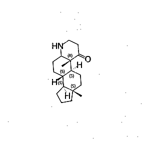 C[C@@]12CCC[C@H]1[C@@H]1CCC3NCCC(=O)[C@]3(C)[C@H]1CC2